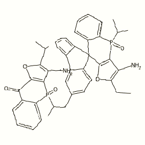 CCc1oc2c(c1N)P(=O)(C(C)C)c1ccccc1C21c2ccccc2-c2cc(CC(C)P3(=O)c4ccccc4C(=O)c4oc(C(C)C)c(N)c43)ccc21